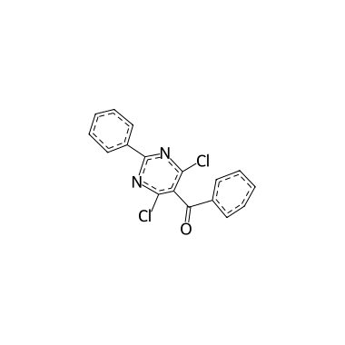 O=C(c1ccccc1)c1c(Cl)nc(-c2ccccc2)nc1Cl